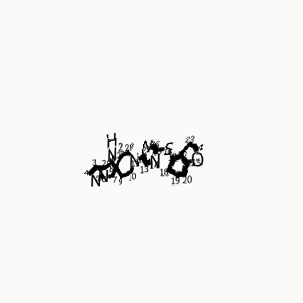 N[C@@H]1c2ccnn2CC12CCN(c1cnc(Sc3cccc4c3CCO4)cn1)CC2